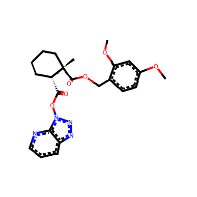 COc1ccc(COC(=O)[C@@]2(C)CCCC[C@H]2C(=O)On2nnc3cccnc32)c(OC)c1